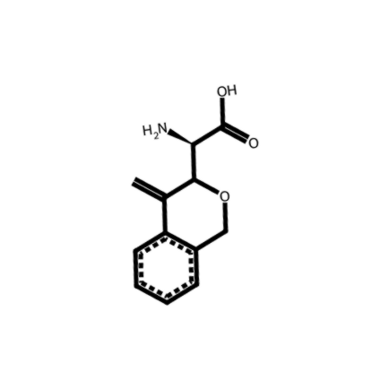 C=C1c2ccccc2COC1[C@@H](N)C(=O)O